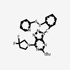 CC(C)(C)c1nc(N2CCC(F)(F)C2)c2nnn(Cc3ccccc3SSc3ccccn3)c2n1